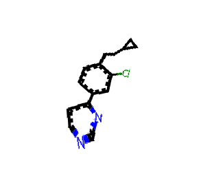 Clc1cc(-c2ccncn2)ccc1CC1CC1